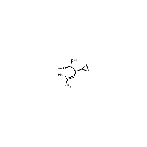 CCCC[C@H](OC)C(C=C(C)C)C1CC1